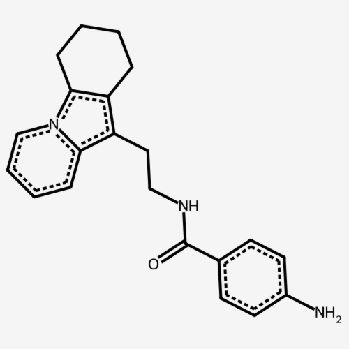 Nc1ccc(C(=O)NCCc2c3c(n4ccccc24)CCCC3)cc1